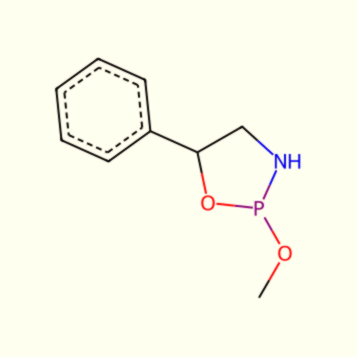 COP1NCC(c2ccccc2)O1